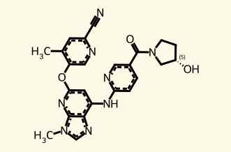 Cc1cc(C#N)ncc1Oc1cc(Nc2ccc(C(=O)N3CC[C@H](O)C3)cn2)c2ncn(C)c2n1